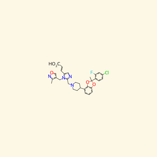 Cc1nocc1Cn1c(/C=C/C(=O)O)cnc1CN1CCC(c2cccc3c2OC(C)(c2ccc(Cl)cc2F)O3)CC1